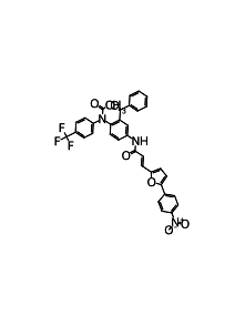 CC(=O)N(c1ccc(C(F)(F)F)cc1)c1ccc(NC(=O)C=Cc2ccc(-c3ccc([N+](=O)[O-])cc3)o2)cc1C(=O)c1ccccc1